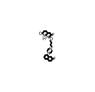 O=c1ccc2cc(F)c(OCCCCN3CCN(c4cccc5ccc(F)cc45)CC3)nc2[nH]1